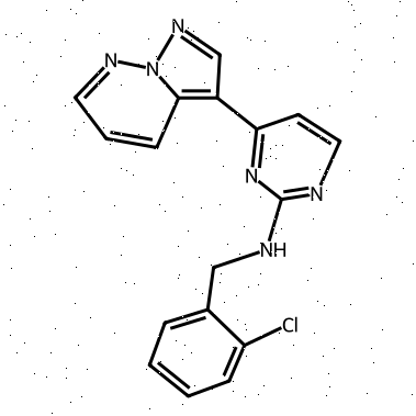 Clc1ccccc1CNc1nccc(-c2cnn3ncccc23)n1